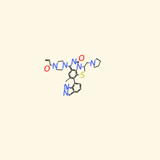 C=CC(=O)N1CCN(c2nc(=O)n3c4c(c(-c5cccc6cnn(C)c56)c(C)cc24)SCC3CN2CCCC2)CC1